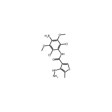 Bc1c(OC)c(Cl)c(NC(=O)c2csc(C)c2PN)c(Cl)c1OC